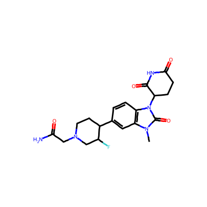 Cn1c(=O)n(C2CCC(=O)NC2=O)c2ccc(C3CCN(CC(N)=O)CC3F)cc21